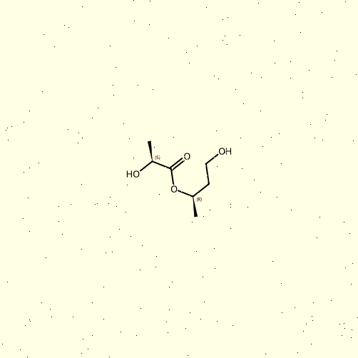 C[C@H](CCO)OC(=O)[C@H](C)O